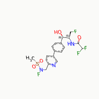 CS(=O)(=O)N(F)Cc1ccc(-c2ccc([C@@H](O)[C@@H](CF)NC(=O)C(F)F)cc2)cn1